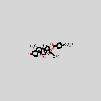 CC(=O)OCC(=O)[C@@]1(OC(=O)c2ccc(C(=O)O)cc2)CC[C@H]2[C@@H]3C[C@H](C)C4=CC(=O)C=C[C@]4(C)[C@H]3[C@@H](O)C[C@@]21C